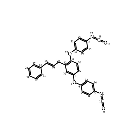 O=C=Nc1ccc(Oc2ccc(Oc3ccc(N=C=O)cc3)c(C/C=C/c3ccccc3)c2)cc1